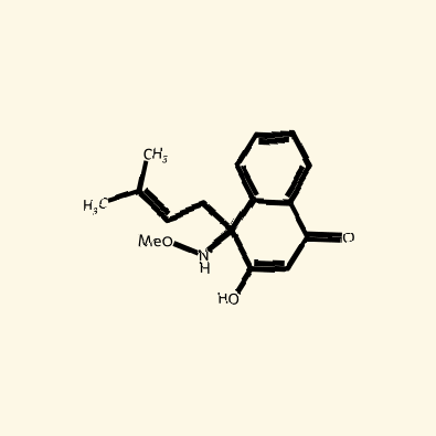 CONC1(CC=C(C)C)C(O)=CC(=O)c2ccccc21